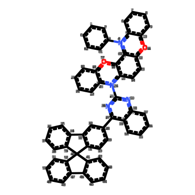 c1ccc(-n2c3ccccc3oc3ccc4c(oc5ccccc5n4-c4nc(-c5ccc6c(c5)-c5ccccc5C65c6ccccc6-c6ccccc65)c5ccccc5n4)c32)cc1